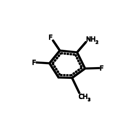 Cc1cc(F)c(F)c(N)c1F